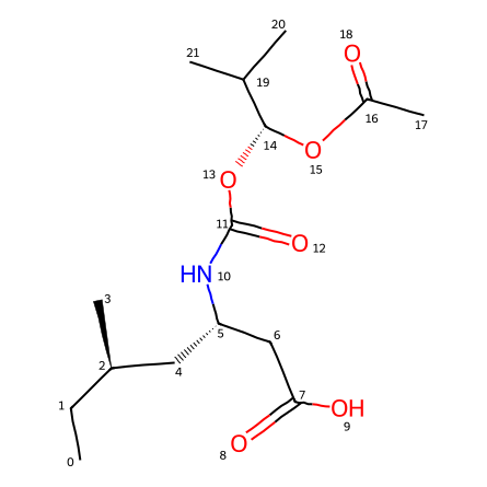 CC[C@@H](C)C[C@@H](CC(=O)O)NC(=O)O[C@@H](OC(C)=O)C(C)C